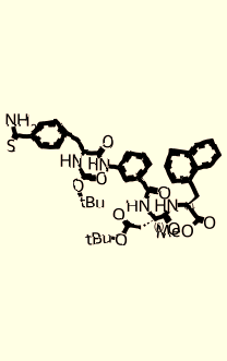 COC(=O)[C@H](Cc1cccc2ccccc12)NC(=O)[C@H](CC(=O)OC(C)(C)C)NC(=O)c1cccc(NC(=O)C(Cc2ccc(C(N)=S)cc2)NC(=O)OC(C)(C)C)c1